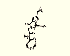 CC(C)c1nn(CC(=O)N(I)c2ccncn2)c(=O)c2cc(CN(C)C)cn12